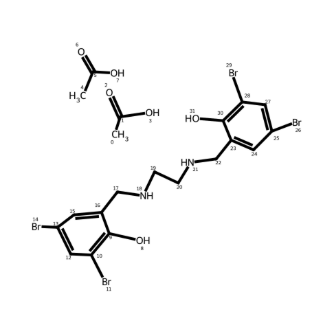 CC(=O)O.CC(=O)O.Oc1c(Br)cc(Br)cc1CNCCNCc1cc(Br)cc(Br)c1O